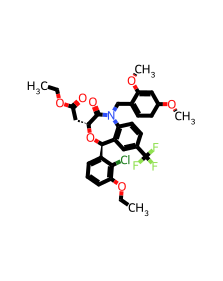 CCOC(=O)C[C@H]1O[C@H](c2cccc(OCC)c2Cl)c2cc(C(F)(F)F)ccc2N(CC2=CCC(OC)C=C2OC)C1=O